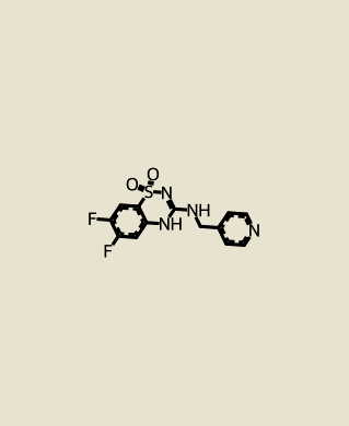 O=S1(=O)N=C(NCc2ccncc2)Nc2cc(F)c(F)cc21